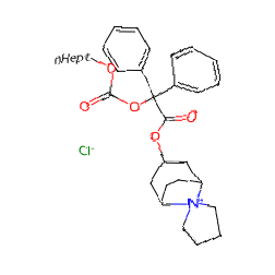 CCCCCCCOC(=O)OC(C(=O)OC1CC2CCC(C1)[N+]21CCCC1)(c1ccccc1)c1ccccc1.[Cl-]